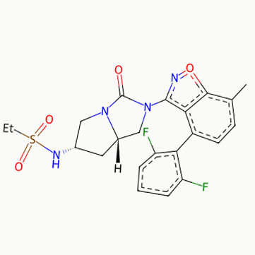 CCS(=O)(=O)N[C@H]1C[C@H]2CN(c3noc4c(C)ccc(-c5c(F)cccc5F)c34)C(=O)N2C1